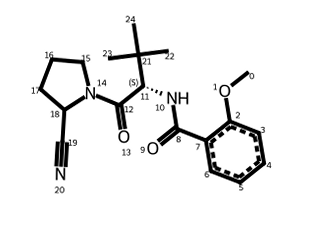 COc1ccccc1C(=O)N[C@H](C(=O)N1CCCC1C#N)C(C)(C)C